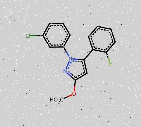 O=C(O)Oc1cc(-c2ccccc2F)n(-c2cccc(Cl)c2)n1